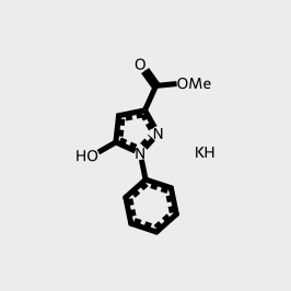 COC(=O)c1cc(O)n(-c2ccccc2)n1.[KH]